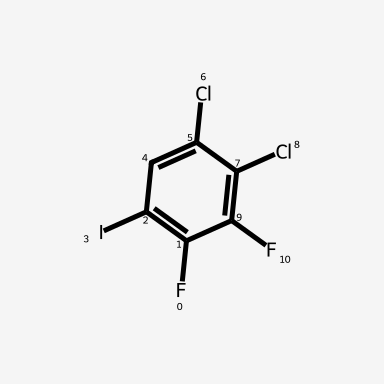 Fc1c(I)cc(Cl)c(Cl)c1F